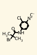 [C-]#[N+]c1ccc(NC(=O)C(C)(C)Br)cc1Cl